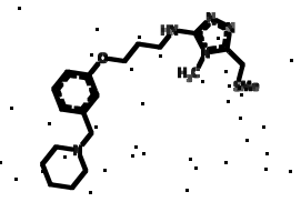 CSCc1nnc(NCCCOc2cccc(CN3CCCCC3)c2)n1C